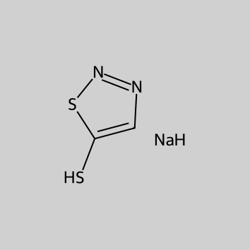 Sc1cnns1.[NaH]